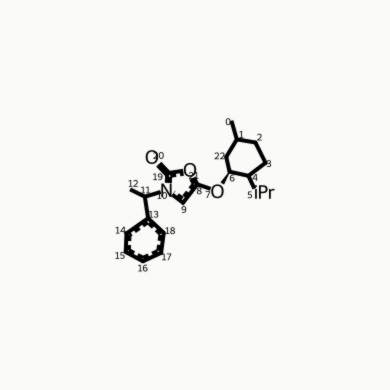 CC1CCC(C(C)C)[C@@H](Oc2cn(C(C)c3ccccc3)c(=O)o2)C1